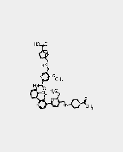 COc1cc(C(=O)Nc2cccc(-c3nccc(-c4ccc(CNC5CCN(C(C)=O)CC5)c(OC)n4)c3Cl)c2Cl)ncc1CNCC12CCC(C(=O)O)(CC1)C2